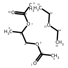 CC(=O)OCC(C)OC(C)=O.CCOCC